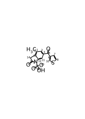 Cc1cc(C(=O)c2ccsc2)cc2c1CC(=O)N2S(=O)(=O)O